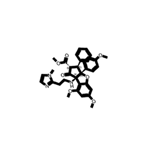 COC(=O)[C@H]1C(=O)[C@@]2(NCCc3nccn3C)c3c(OC)cc(OC)cc3O[C@@]2(c2ccc(OC)cc2)[C@@H]1c1ccccc1